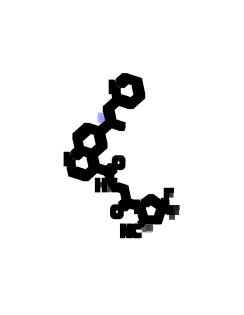 C/C(=C\c1ccccn1)c1ccc2nccc(C(=O)NCC(=O)N3CC(F)(F)C[C@H]3C#N)c2c1